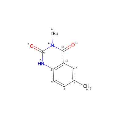 Cc1ccc2[nH]c(=O)n(C(C)(C)C)c(=O)c2c1